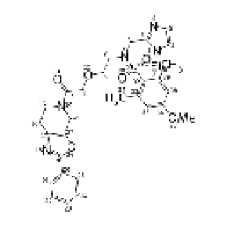 CCn1ccnc1CN(CCOCC(=O)N1CCc2nc(-c3ccccc3)oc2C1)S(=O)(=O)c1c(C)cc(OC)cc1C